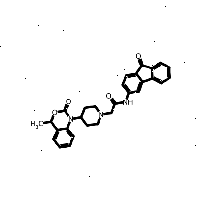 CC1OC(=O)N(C2CCN(CC(=O)Nc3ccc4c(c3)-c3ccccc3C4=O)CC2)c2ccccc21